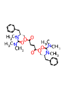 CN(C)C(=O)N(C)[C@@H](COC(=O)/C=C/C(=O)OC[C@@H](Cc1ccccc1)N(C)C(=O)N(C)C)Cc1ccccc1